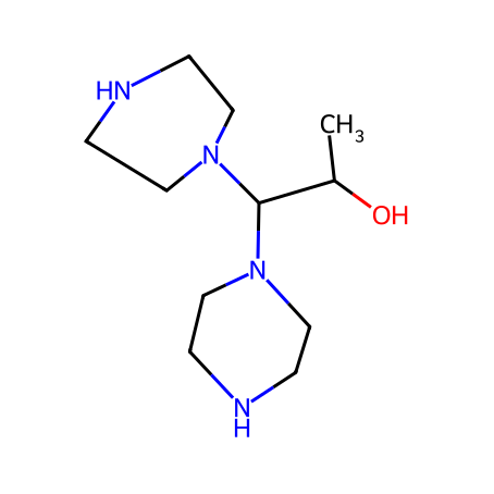 CC(O)C(N1CCNCC1)N1CCNCC1